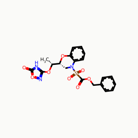 C[C@@H](Oc1noc(=O)[nH]1)[C@H]1CN(S(=O)(=O)C(=O)OCc2ccccc2)c2ccccc2O1